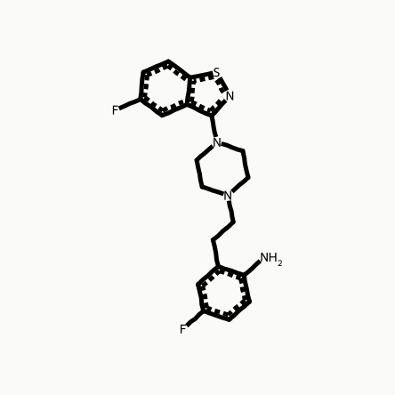 Nc1ccc(F)cc1CCN1CCN(c2nsc3ccc(F)cc23)CC1